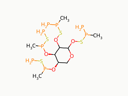 CP(P)SOC1OC[C@@H](OP(C)SP)[C@@H](OP(C)SP)C1OSP(C)P